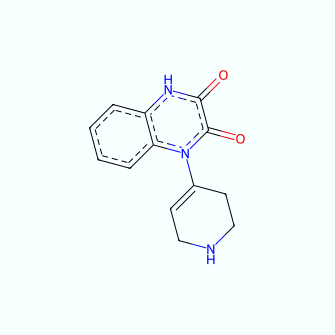 O=c1[nH]c2ccccc2n(C2=CCNCC2)c1=O